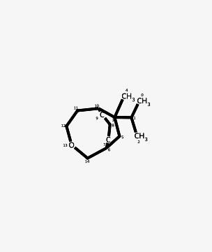 CC(C)C1(C)CC2CCCC1CCOC2